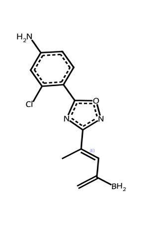 BC(=C)/C=C(\C)c1noc(-c2ccc(N)cc2Cl)n1